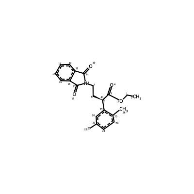 CCOC(=O)[C@H](CCN1C(=O)c2ccccc2C1=O)c1cc(F)ccc1C